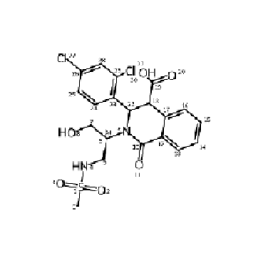 CS(=O)(=O)NC[C@@H](CO)N1C(=O)c2ccccc2C(C(=O)O)C1c1ccc(Cl)cc1Cl